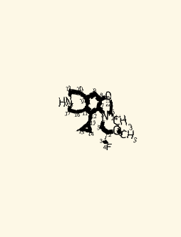 CO[C@H](CF)CN1c2c(cc3c(c2C2CC2)CCNCC3)OC[C@H]1C